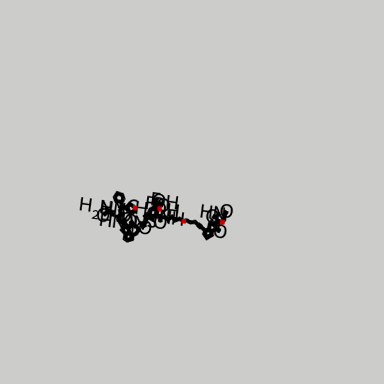 NC(=O)CC[C@H](NC(=O)[C@@H]1Cc2cccc3c2N1C(=O)[C@@H](NC(=O)c1cc2cc(C(F)(F)P(=O)(O)O)cc(C(=O)NCCCCCCCCC#Cc4cccc5c4CN(C4CCC(=O)NC4=O)C5=O)c2s1)CC3)C(=O)NC(C1CCCCC1)C1CCCCC1